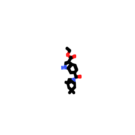 CCOC(=O)c1c[nH]c2cc(C(=O)N3CC4(C)CC3CC(C)(C)C4)ccc12